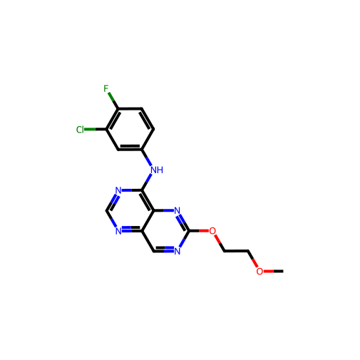 COCCOc1ncc2ncnc(Nc3ccc(F)c(Cl)c3)c2n1